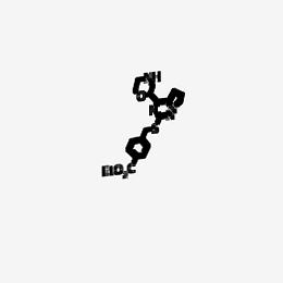 CCOC(=O)c1ccc(CSc2nc(C3CNCCO3)c3cccn3n2)cc1